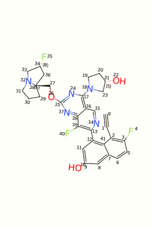 C#Cc1c(F)ccc2cc(O)cc(-c3ncc4c(N5CC[C@H](O)C5)nc(OC[C@@]56CCCN5C[C@H](F)C6)nc4c3F)c12